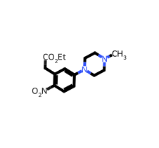 CCOC(=O)Cc1cc(N2CCN(C)CC2)ccc1[N+](=O)[O-]